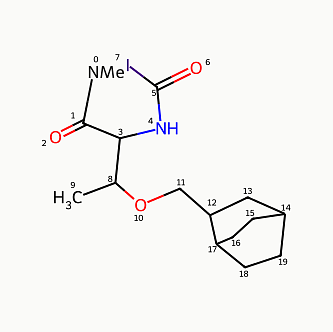 CNC(=O)C(NC(=O)I)C(C)OCC1CC2CCC1CC2